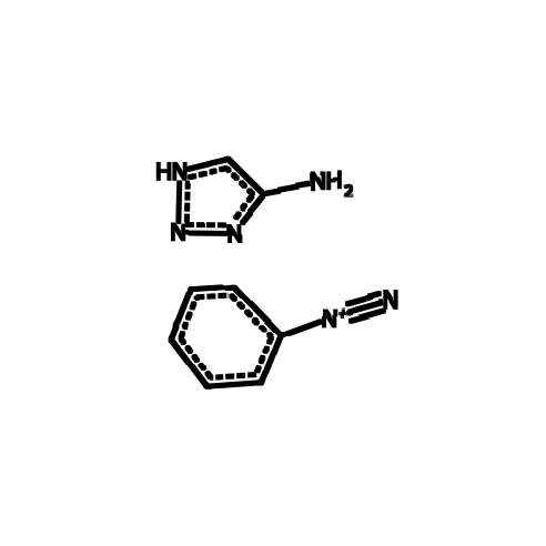 N#[N+]c1ccccc1.Nc1c[nH]nn1